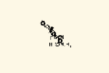 COc1cc2nccc(Oc3ccc(S(=O)(=O)NCOCc4ccccc4)cc3F)c2cc1OC